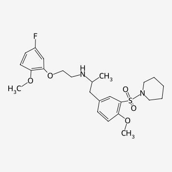 COc1ccc(F)cc1OCCNC(C)Cc1ccc(OC)c(S(=O)(=O)N2CCCCC2)c1